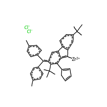 Cc1ccc(C(c2ccc(C)cc2)=c2cc3c(c(C4=CC=CC4)c2C(C)(C)C)=[C]([Zr+2])c2cc(C(C)(C)C)ccc2-3)cc1.[Cl-].[Cl-]